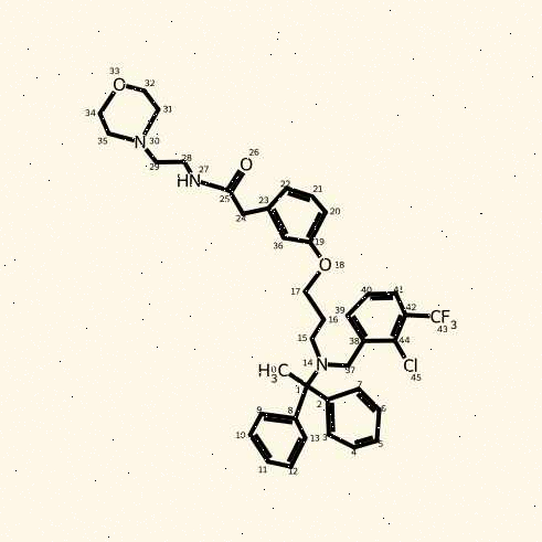 CC(c1ccccc1)(c1ccccc1)N(CCCOc1cccc(CC(=O)NCCN2CCOCC2)c1)Cc1cccc(C(F)(F)F)c1Cl